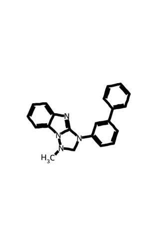 CN1CN(c2cccc(-c3ccccc3)c2)c2nc3ccccc3n21